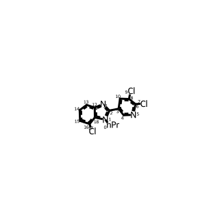 CCCn1c(-c2cnc(Cl)c(Cl)c2)nc2cccc(Cl)c21